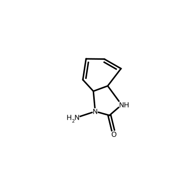 NN1C(=O)NC2C=CC=CC21